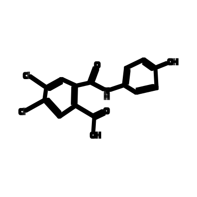 O=C(O)c1cc(Cl)c(Cl)cc1C(=O)Nc1ccc(O)cc1